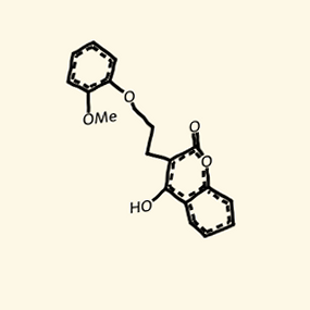 COc1ccccc1OCCCc1c(O)c2ccccc2oc1=O